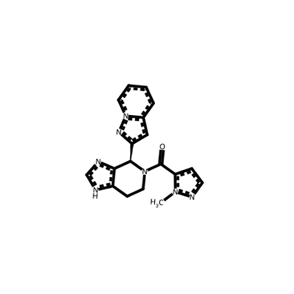 Cn1nccc1C(=O)N1CCc2[nH]cnc2[C@H]1c1cc2ccccn2n1